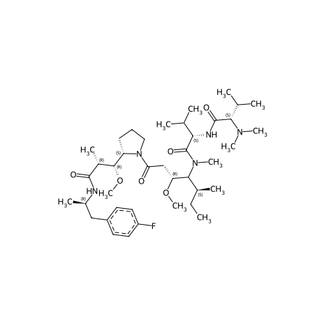 CC[C@H](C)C([C@@H](CC(=O)N1CCC[C@H]1[C@H](OC)[C@@H](C)C(=O)N[C@H](C)Cc1ccc(F)cc1)OC)N(C)C(=O)[C@@H](NC(=O)[C@H](C(C)C)N(C)C)C(C)C